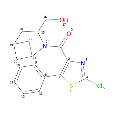 O=C(c1nc(Cl)sc1-c1ccccc1)N1C(CO)CC2CC1C2